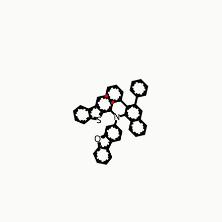 c1ccc(-c2cc3ccccc3c(N(c3ccc4c(c3)oc3ccccc34)c3cccc4c3sc3ccccc34)c2-c2ccccc2)cc1